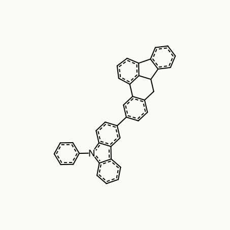 c1ccc(-n2c3ccccc3c3cc(-c4ccc5c(c4)-c4cccc6c4C(C5)c4ccccc4-6)ccc32)cc1